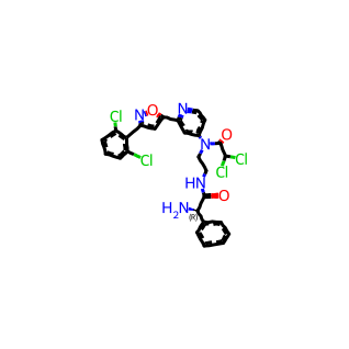 N[C@@H](C(=O)NCCN(C(=O)C(Cl)Cl)c1ccnc(-c2cc(-c3c(Cl)cccc3Cl)no2)c1)c1ccccc1